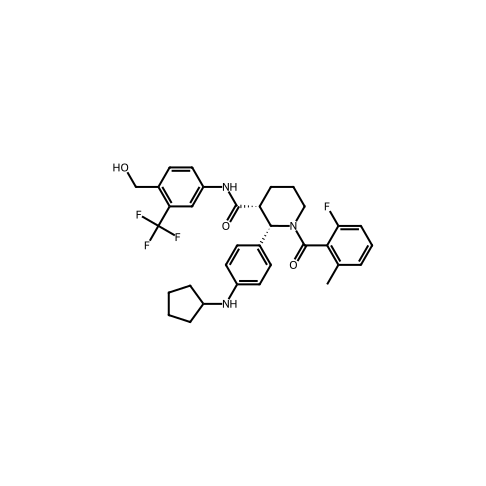 Cc1cccc(F)c1C(=O)N1CCC[C@@H](C(=O)Nc2ccc(CO)c(C(F)(F)F)c2)[C@H]1c1ccc(NC2CCCC2)cc1